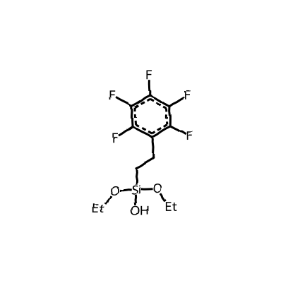 CCO[Si](O)(CCc1c(F)c(F)c(F)c(F)c1F)OCC